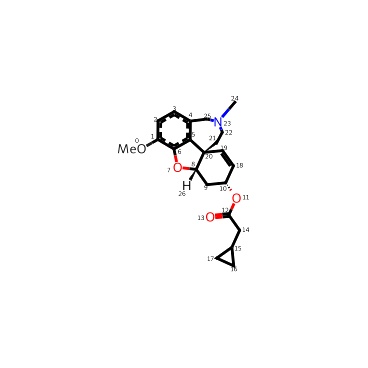 COc1ccc2c3c1O[C@H]1C[C@@H](OC(=O)CC4CC4)C=C[C@@]31CCN(C)C2